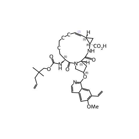 C=CCC(C)(C)COC(=O)N[C@H]1CCCCC/C=C\[C@@H]2C[C@@]2(C(=O)O)NC(=O)[C@@H]2C[C@@H](Oc3nccc4cc(OC)c(C=C)cc34)CN2C1=O